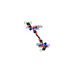 CC[C@H](NC)C(=O)N[C@@H](Cc1ccc(OCC#CC#CCOc2ccc(C[C@H](NC(=O)[C@H](CC)NC)C(=O)N3CC(C)(C)c4[nH]c(=O)c(Cc5ccc(Cl)cc5Cl)cc43)cc2)cc1)C(=O)N1CC(C)(C)c2[nH]c(=O)c(Cc3ccc(Cl)cc3Cl)cc21